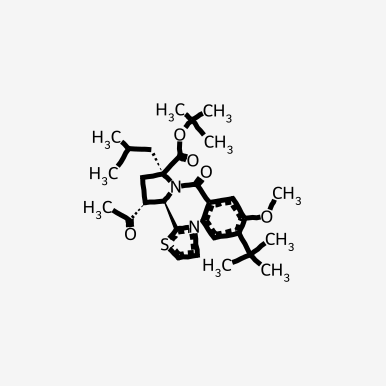 COc1cc(C(=O)N2[C@@H](c3nccs3)[C@H](C(C)=O)C[C@@]2(CC(C)C)C(=O)OC(C)(C)C)ccc1C(C)(C)C